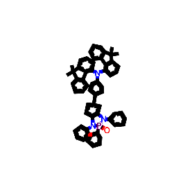 CC1(C)c2ccccc2-c2c(N(c3ccc(-c4ccc5c(c4)N(c4ccccc4)P(=O)(c4ccccc4)N5c4ccccc4)cc3)c3cccc4c3-c3ccccc3C4(C)C)cccc21